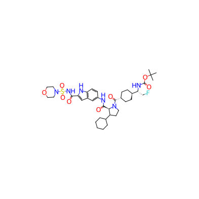 CC(C)(C)OC(=O)N[C@H](CF)[C@H]1CC[C@H](C(=O)N2CCC(C3CCCCC3)[C@H]2C(=O)Nc2ccc3[nH]c(C(=O)NS(=O)(=O)N4CCOCC4)cc3c2)CC1